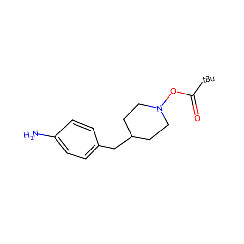 CC(C)(C)C(=O)ON1CCC(Cc2ccc(N)cc2)CC1